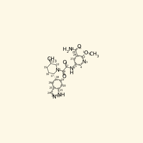 COc1ncc(NC(=O)C(=O)N2C[C@H](C)CC[C@H]2c2ccc3[nH]ncc3c2)cc1C(N)=O